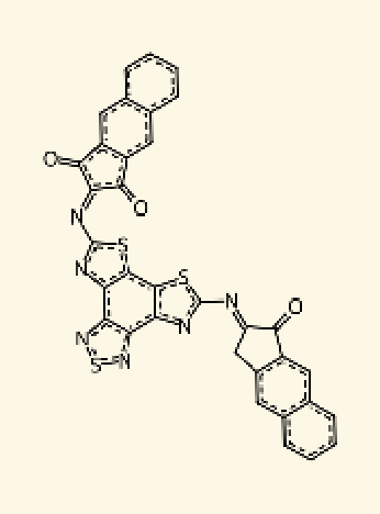 O=C1/C(=N/c2nc3c4nsnc4c4nc(N=c5c(=O)c6cc7ccccc7cc6c5=O)sc4c3s2)Cc2cc3ccccc3cc21